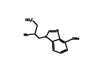 COc1cccc2c1ncn2CC(CC(=O)O)C(C)(C)C